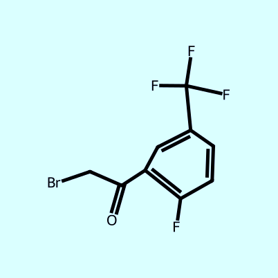 O=C(CBr)c1cc(C(F)(F)F)ccc1F